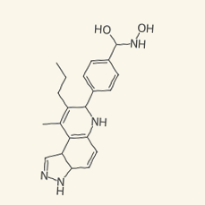 CCCC1=C(C)C2=C(C=CC3NN=CC23)NC1c1ccc(C(O)NO)cc1